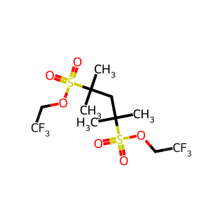 CC(C)(CC(C)(C)S(=O)(=O)OCC(F)(F)F)S(=O)(=O)OCC(F)(F)F